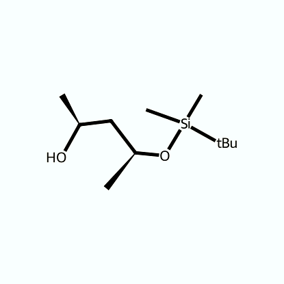 C[C@H](O)C[C@H](C)O[Si](C)(C)C(C)(C)C